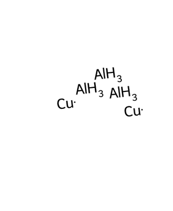 [AlH3].[AlH3].[AlH3].[Cu].[Cu]